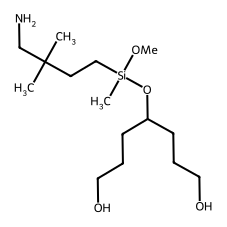 CO[Si](C)(CCC(C)(C)CN)OC(CCCO)CCCO